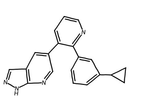 c1cc(-c2ncccc2-c2cnc3[nH]ncc3c2)cc(C2CC2)c1